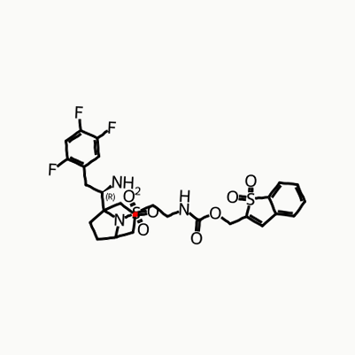 N[C@H](Cc1cc(F)c(F)cc1F)C12CCC(CC(=O)C1)N2S(=O)(=O)CCNC(=O)OCC1=Cc2ccccc2S1(=O)=O